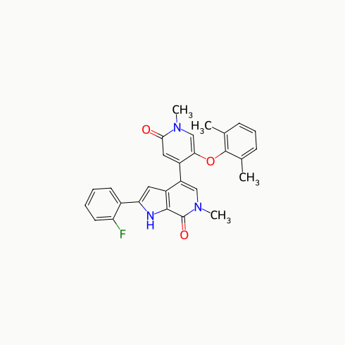 Cc1cccc(C)c1Oc1cn(C)c(=O)cc1-c1cn(C)c(=O)c2[nH]c(-c3ccccc3F)cc12